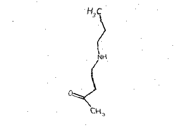 CCCNCCC(C)=O